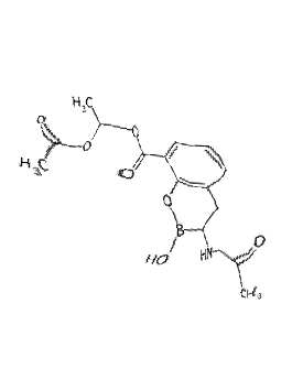 CC(=O)NC1Cc2cccc(C(=O)OC(C)OC(C)=O)c2OB1O